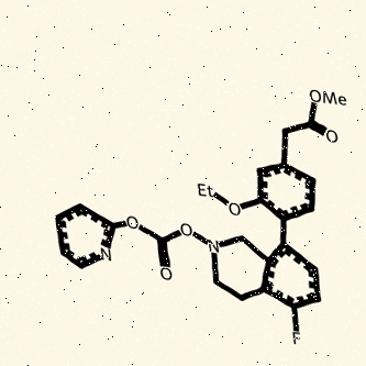 CCOc1cc(CC(=O)OC)ccc1-c1ccc(F)c2c1CN(OC(=O)Oc1ccccn1)CC2